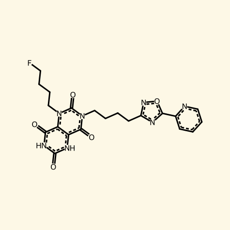 O=c1[nH]c(=O)c2c([nH]1)c(=O)n(CCCCc1noc(-c3ccccn3)n1)c(=O)n2CCCCF